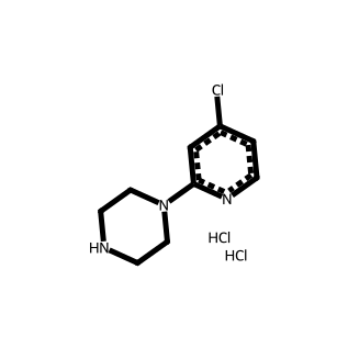 Cl.Cl.Clc1ccnc(N2CCNCC2)c1